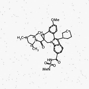 CNS(=O)(=O)NC(=O)c1ccc2c(C3CCCCC3)c3n(c2c1)CC1(C(=O)N2[C@H](C)CN(C)C[C@@H]2C)CC1c1cc(OC)ccc1-3